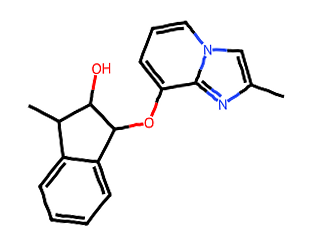 Cc1cn2cccc(OC3c4ccccc4C(C)C3O)c2n1